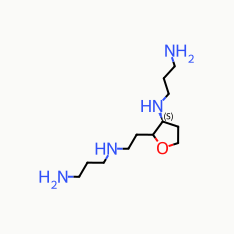 NCCCNCCC1OCC[C@@H]1NCCCN